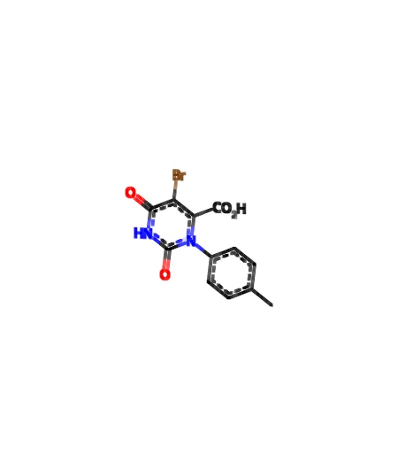 Cc1ccc(-n2c(C(=O)O)c(Br)c(=O)[nH]c2=O)cc1